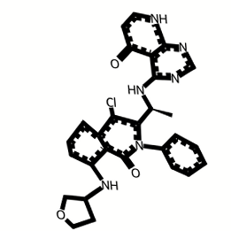 C[C@H](Nc1ncnc2[nH]ccc(=O)c12)c1c(Cl)c2cccc(NC3CCOC3)c2c(=O)n1-c1ccccc1